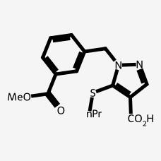 CCCSc1c(C(=O)O)cnn1Cc1cccc(C(=O)OC)c1